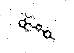 COc1cccc(N(C)N)c1COc1ccn(-c2ccc(Br)cc2)n1